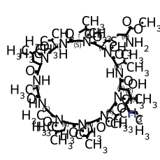 C/C=C/C[C@@H](C)[C@@H](O)[C@@H]1C(=O)N[C@H](C(C)C)C(=O)N(C)[C@H](CSC[C@H](N)C(=O)OC)C(=O)N(C)[C@@H](CC(C)C)C(=O)N[C@H](C(C)C)C(=O)N(C)C(CC(C)C)C(=O)N[C@H](C)C(=O)N[C@@H](C)C(=O)N(C)[C@H](CC(C)C)C(=O)N(C)[C@H](CC(C)C)C(=O)N(C)[C@H](C(C)C)C(=O)N1C